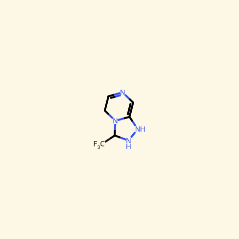 FC(F)(F)C1NNC2=CN=CCN21